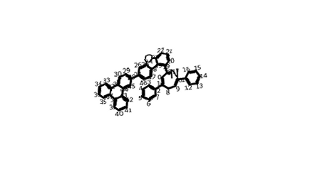 C1=C(c2ccccc2)CC=C(c2ccccc2)N=C1c1cccc2oc3cc(-c4ccc5c6ccccc6c6ccccc6c5c4)ccc3c12